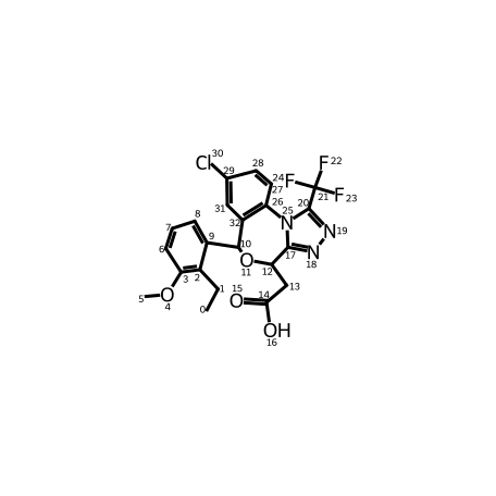 CCc1c(OC)cccc1C1OC(CC(=O)O)c2nnc(C(F)(F)F)n2-c2ccc(Cl)cc21